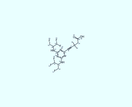 CC(C)(C#Cc1nc(NC(CF)C(F)F)nc(NC(CF)C(F)F)n1)CC(=O)O